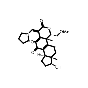 COC[C@H]1OC(=O)/C(=C/N2CCCC2)C2=C(O)C(=O)C3=C([C]C[C@]4(C)[C@@H](O)CC[C@@H]34)[C@]21C